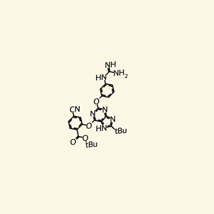 CC(C)(C)OC(=O)c1ccc(C#N)cc1Oc1nc(Oc2cccc(NC(=N)N)c2)nc2nc(C(C)(C)C)[nH]c12